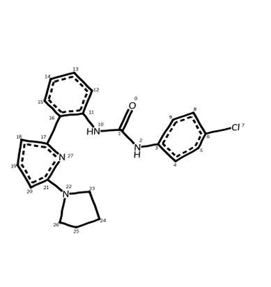 O=C(Nc1ccc(Cl)cc1)Nc1ccccc1-c1cccc(N2CCCC2)n1